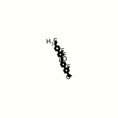 C/C=C/C1CCC(c2ccc(C(=O)Oc3ccc(-c4ccc(C5CO5)cc4F)cc3)c(F)c2F)CC1